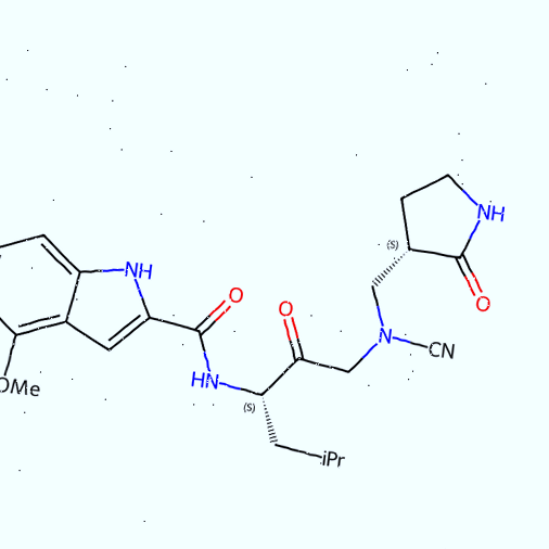 COc1cccc2[nH]c(C(=O)N[C@@H](CC(C)C)C(=O)CN(C#N)C[C@@H]3CCNC3=O)cc12